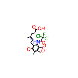 COc1c(C)c2c(c(NC(=O)C(F)(Cl)Cl)c1C/C=C(\C)CCC(=O)O)C(=O)OC2